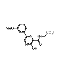 COc1cccc(-c2cnc(O)c(C(=O)NCC(=O)O)n2)c1